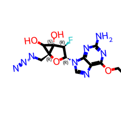 CCOc1nc(N)nc2c1ncn2[C@@H]1O[C@]2(CN=[N+]=[N-])C(O)[C@@]2(O)[C@H]1F